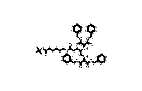 CC(C)(C)OC(=O)CCCCCNC(=O)CCC(CNC(C(=O)OCc1ccccc1)C(=O)OCc1ccccc1)NC(C(=O)OCc1ccccc1)C(=O)OCc1ccccc1